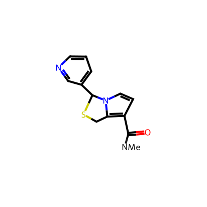 CNC(=O)c1ccn2c1CSC2c1cccnc1